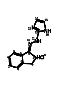 Cl.c1ccc2c(c1)CCC2=NNc1ncc[nH]1